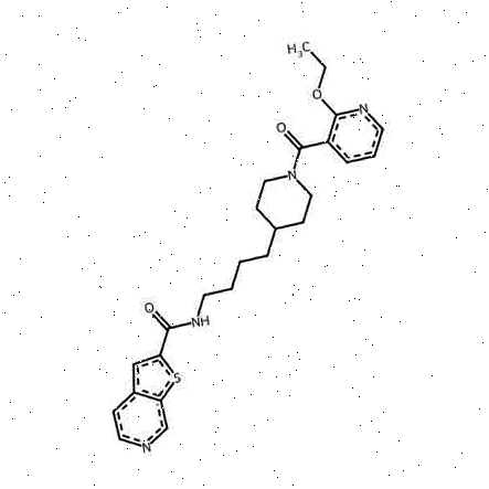 CCOc1ncccc1C(=O)N1CCC(CCCCNC(=O)c2cc3ccncc3s2)CC1